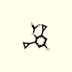 NC(=O)Oc1c(C2CC2)cc(Cl)cc1C1CC1